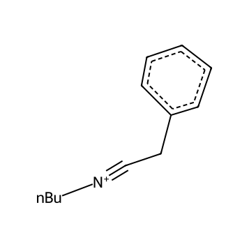 CCCC[N+]#CCc1ccccc1